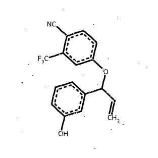 C=CC(Oc1ccc(C#N)c(C(F)(F)F)c1)c1cccc(O)c1